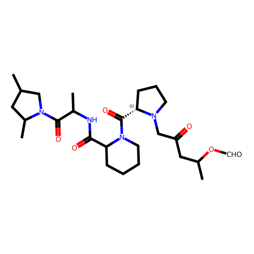 CC1CC(C)N(C(=O)C(C)NC(=O)C2CCCCN2C(=O)[C@@H]2CCCN2CC(=O)CC(C)OC=O)C1